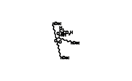 CCCCCCCCCCCCCCCCCC(=O)OC(CCCCCCCCCCCCCCCCC)C(CCCCCCCCCCCCCCCC)C(=O)N[C@@H](C)C(=O)O